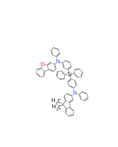 CC1(C)c2ccccc2-c2cc(N(c3ccccc3)c3ccc([Si](c4ccccc4)(c4ccccc4)c4cccc(N(c5ccccc5)c5ccc6c(c5)oc5ccccc56)c4)cc3)ccc21